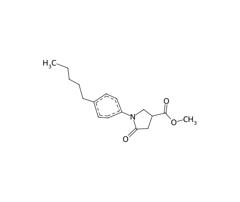 CCCCCc1ccc(N2CC(C(=O)OC)CC2=O)cc1